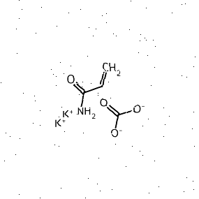 C=CC(N)=O.O=C([O-])[O-].[K+].[K+]